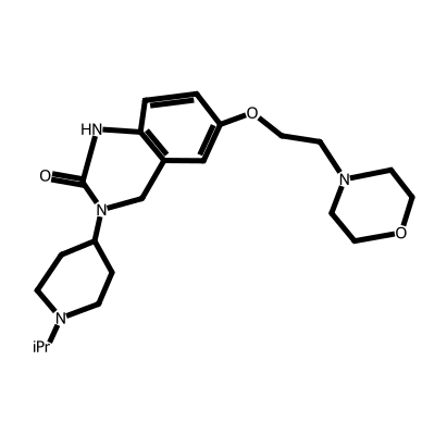 CC(C)N1CCC(N2Cc3cc(OCCN4CCOCC4)ccc3NC2=O)CC1